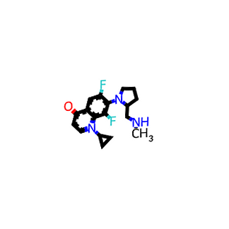 CNCC1CCCN1c1c(F)cc2c(=O)ccn(C3CC3)c2c1F